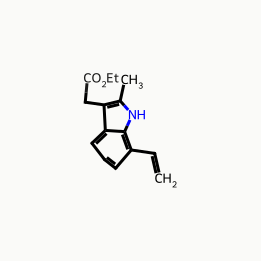 C=Cc1cccc2c(CC(=O)OCC)c(C)[nH]c12